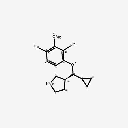 COc1c(F)ccc(OC(C2CC2)[C@H]2CCNC2)c1F